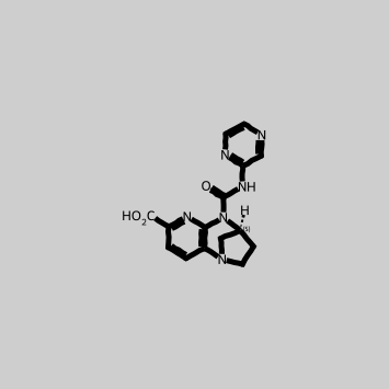 O=C(O)c1ccc2c(n1)N(C(=O)Nc1cnccn1)[C@H]1CCN2C1